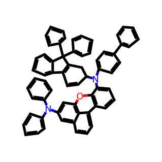 C1=CC(N(c2ccc(-c3ccccc3)cc2)c2cccc3c2Oc2cc(N(c4ccccc4)c4ccccc4)cc4cccc-3c24)CC2=C1c1ccccc1C2(c1ccccc1)c1ccccc1